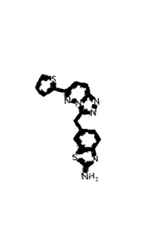 Nc1nc2ccc(Cc3nnc4ccc(-c5cccs5)nn34)cc2s1